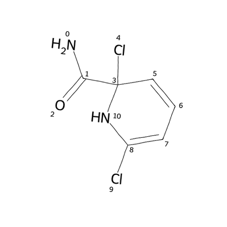 NC(=O)C1(Cl)C=CC=C(Cl)N1